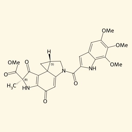 COC(=O)[C@]1(C)NC2=C(C1=O)C13C[C@@H]1CN(C(=O)c1cc4cc(OC)c(OC)c(OC)c4[nH]1)C3=CC2=O